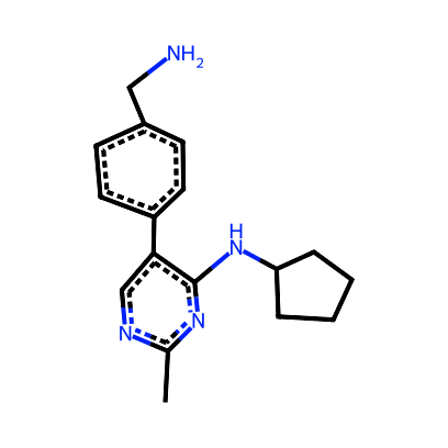 Cc1ncc(-c2ccc(CN)cc2)c(NC2CCCC2)n1